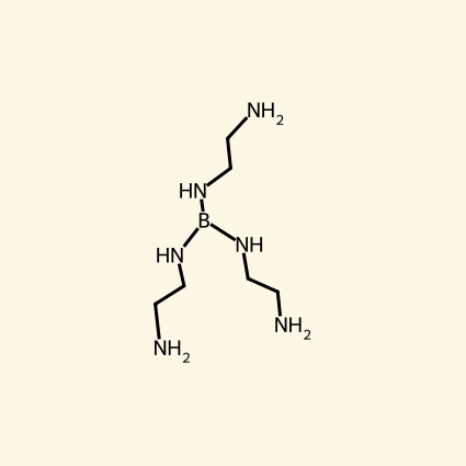 NCCNB(NCCN)NCCN